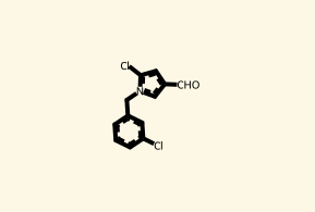 O=Cc1cc(Cl)n(Cc2cccc(Cl)c2)c1